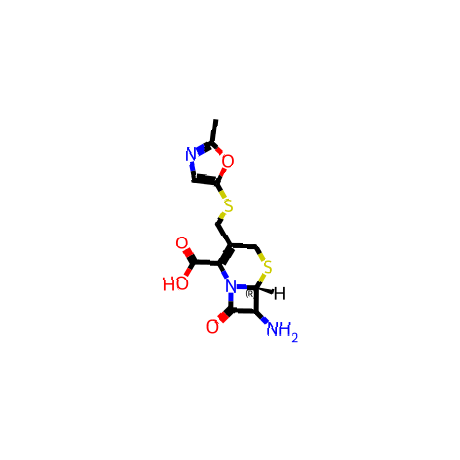 Cc1ncc(SCC2=C(C(=O)O)N3C(=O)C(N)[C@H]3SC2)o1